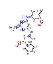 C#C/C(=C\C(=C/C)Nc1cc(CN(CCOC)Cc2ccccc2)nc(N)n1)OC